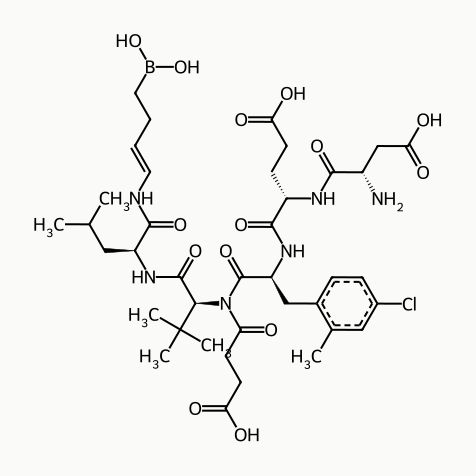 Cc1cc(Cl)ccc1C[C@H](NC(=O)[C@H](CCC(=O)O)NC(=O)[C@@H](N)CC(=O)O)C(=O)N(C(=O)CCC(=O)O)[C@H](C(=O)N[C@@H](CC(C)C)C(=O)NC=CCCB(O)O)C(C)(C)C